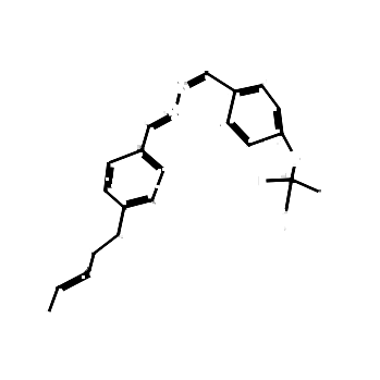 C/C=C/CCc1ccc(/C=N/N=C\c2ccc(OC(F)(F)F)cc2)cc1